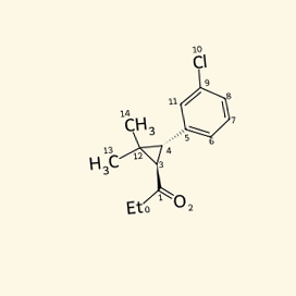 CCC(=O)[C@@H]1[C@@H](c2cccc(Cl)c2)C1(C)C